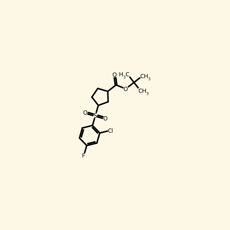 CC(C)(C)OC(=O)C1CCC(S(=O)(=O)c2ccc(F)cc2Cl)C1